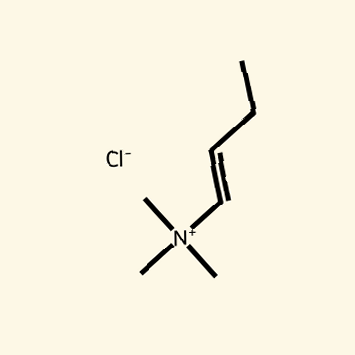 CCC=C[N+](C)(C)C.[Cl-]